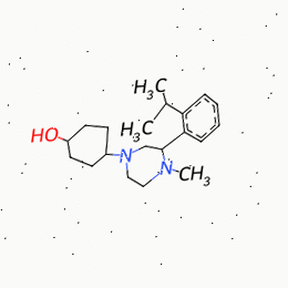 CC(C)c1ccccc1C1CN(C2CCC(O)CC2)CCN1C